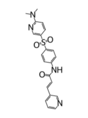 CN(C)c1ccc(S(=O)(=O)c2ccc(NC(=O)/C=C/c3cccnc3)cc2)cn1